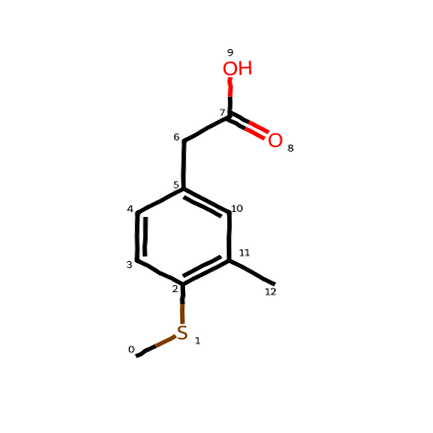 CSc1ccc(CC(=O)O)cc1C